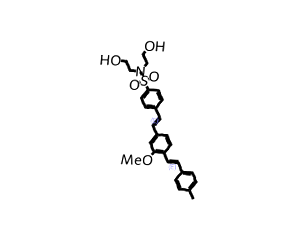 COc1cc(/C=C/c2ccc(S(=O)(=O)N(CCO)CCO)cc2)ccc1/C=C/c1ccc(C)cc1